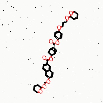 O=C(OC1CC2CC1CC2C(=O)Oc1ccc(OCCCOC2CCCCO2)cc1)c1ccc2cc(OCOC3CCCCO3)ccc2c1